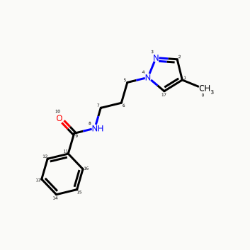 Cc1cnn(CCCNC(=O)c2ccccc2)c1